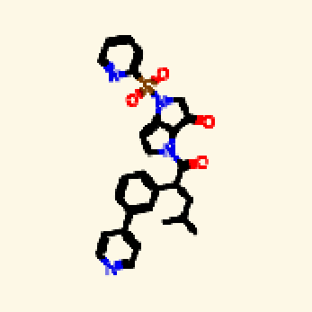 CC(C)CC(C(=O)N1CC=C2C1C(=O)CN2S(=O)(=O)c1ccccn1)c1cccc(-c2ccncc2)c1